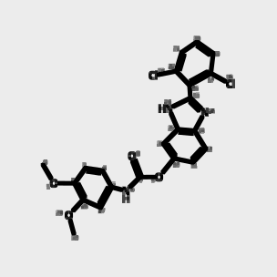 COc1ccc(NC(=O)Oc2ccc3nc(-c4c(Cl)cccc4Cl)[nH]c3c2)cc1OC